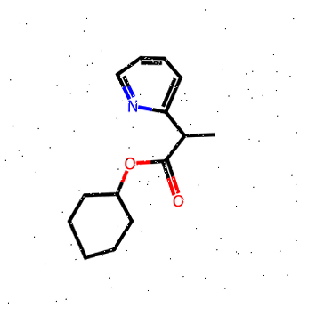 CC(C(=O)OC1CCCCC1)c1ccccn1